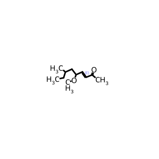 CCC(C)CC(/C=C/C(C)=O)OC